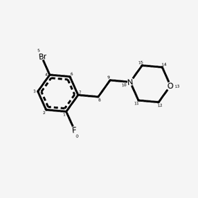 Fc1ccc(Br)cc1CCN1CCOCC1